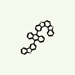 c1ccc2c(c1)oc1ccc3oc4ccc(-c5c6ccccc6c(-c6ccc7sc8ccccc8c7c6)c6ccccc56)cc4c3c12